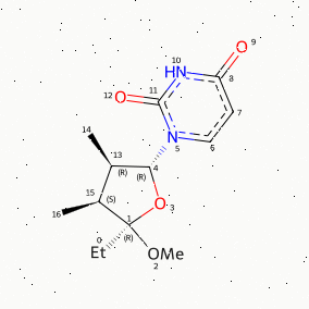 CC[C@@]1(OC)O[C@@H](n2ccc(=O)[nH]c2=O)[C@H](C)[C@@H]1C